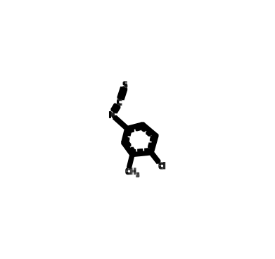 Cc1cc(N=C=S)ccc1Cl